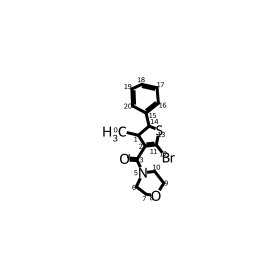 CC1C(C(=O)N2CCOCC2)=C(Br)SC1c1ccccc1